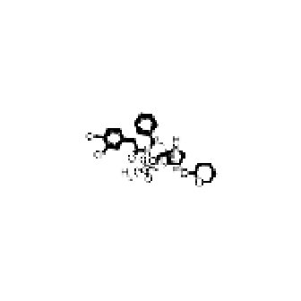 CN(C(=O)Cc1ccc(Cl)c(Cl)c1)[C@@H](C[C@@]1(COS(C)(=O)=O)C[C@@H](OC2CCCCO2)CN1)c1ccccc1